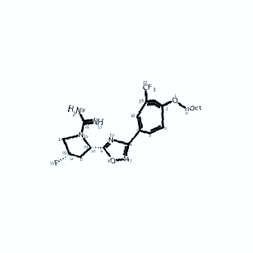 CCCCCCCCOc1ccc(-c2noc([C@@H]3C[C@H](F)CN3C(=N)N)n2)cc1C(F)(F)F